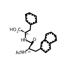 CC(=O)N[C@H](Cc1ccc2ccccc2c1)C(=O)N[C@H](Cc1ccccc1)C(=O)O